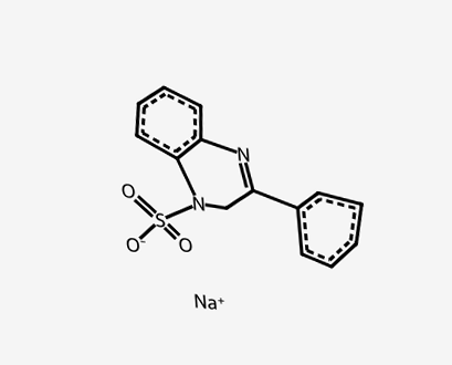 O=S(=O)([O-])N1CC(c2ccccc2)=Nc2ccccc21.[Na+]